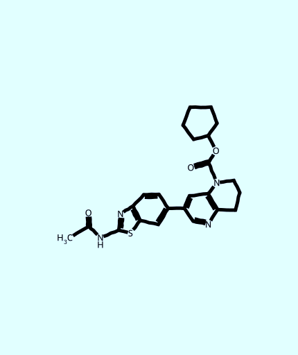 CC(=O)Nc1nc2ccc(-c3cnc4c(c3)N(C(=O)OC3CCCCC3)CCC4)cc2s1